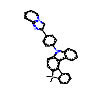 C[Si]1(C)c2ccccc2-c2c1ccc1c2c2ccccc2n1-c1ccc(-c2cn3ccccc3n2)cc1